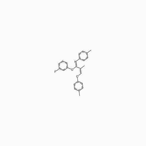 CC(=COc1ccc(C)cc1)C(=Nc1ccc(C)cc1)Oc1cccc(F)c1